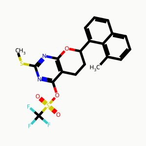 CSc1nc2c(c(OS(=O)(=O)C(F)(F)F)n1)CCC(c1cccc3cccc(C)c13)O2